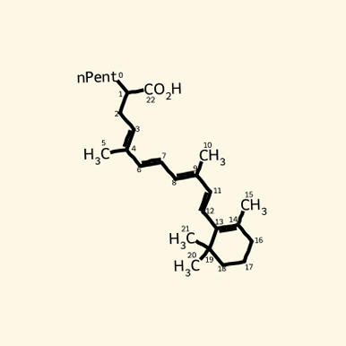 CCCCCC(CC=C(C)C=CC=C(C)C=CC1=C(C)CCCC1(C)C)C(=O)O